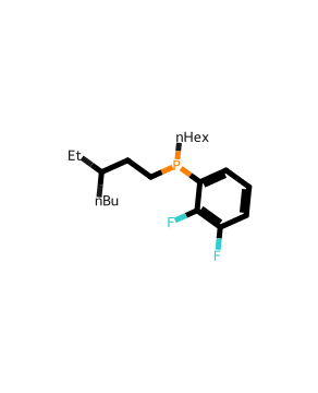 CCCCCCP(CCC(CC)CCCC)c1cccc(F)c1F